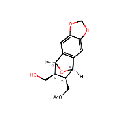 CC(=O)OC[C@H]1[C@@H](CO)[C@@H]2O[C@H]1c1cc3c(cc12)OCO3